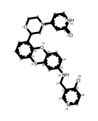 O=c1cc(N2CCOC(c3cccc4c3Oc3ccc(NCc5cnccc5Cl)cc3S4)C2)cc[nH]1